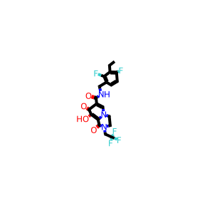 CCc1c(F)ccc(CNC(=O)c2cn3c(c(O)c2=O)C(=O)N(CC(F)(F)F)CC3)c1F